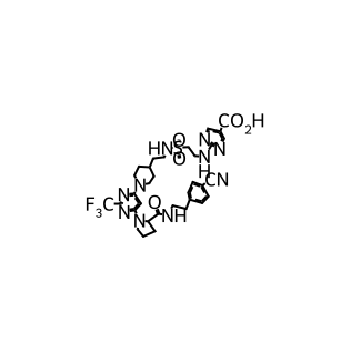 N#Cc1ccc(CCNC(=O)C2CCCN2c2cc(N3CCC(CCNS(=O)(=O)CCNc4ncc(C(=O)O)cn4)CC3)nc(C(F)(F)F)n2)cc1